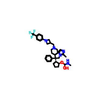 CNC(O)O[C@H]1CCC[C@@H]1C(Cn1ccnc1C)(c1ccccc1)C1CCN(CC2CN(c3ccc(C(F)(F)F)cc3)C2)CC1